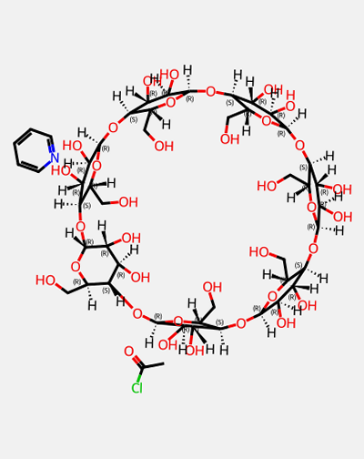 CC(=O)Cl.OC[C@H]1O[C@@H]2O[C@H]3[C@H](O)[C@@H](O)[C@@H](O[C@H]4[C@H](O)[C@@H](O)[C@@H](O[C@H]5[C@H](O)[C@@H](O)[C@@H](O[C@H]6[C@H](O)[C@@H](O)[C@@H](O[C@H]7[C@H](O)[C@@H](O)[C@@H](O[C@H]8[C@H](O)[C@@H](O)[C@@H](O[C@H]1[C@H](O)[C@H]2O)O[C@@H]8CO)O[C@@H]7CO)O[C@@H]6CO)O[C@@H]5CO)O[C@@H]4CO)O[C@@H]3CO.c1ccncc1